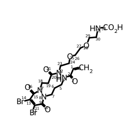 C=CC(=O)NCCCn1c(=O)c(Br)c(Br)c(=O)n1CCC(=O)NCCOCCOCCNC(=O)O